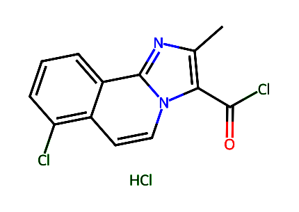 Cc1nc2c3cccc(Cl)c3ccn2c1C(=O)Cl.Cl